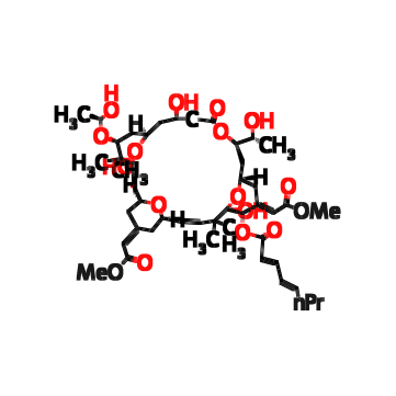 CCC/C=C/C=C/C(=O)O[C@H]1/C(=C/C(=O)OC)C[C@H]2C[C@H]([C@@H](C)O)OC(=O)C[C@H](O)C[C@@H]3C[C@H](O[C@@H](C)O)C(C)(C)[C@](O)(C[C@@H]4C/C(=C/C(=O)OC)C[C@H](/C=C/C(C)(C)[C@]1(O)O2)O4)O3